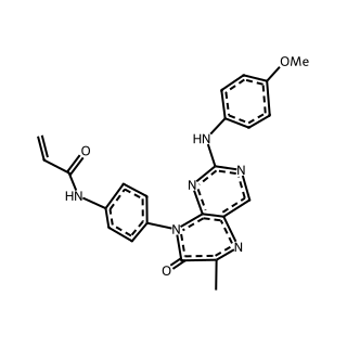 C=CC(=O)Nc1ccc(-n2c(=O)c(C)nc3cnc(Nc4ccc(OC)cc4)nc32)cc1